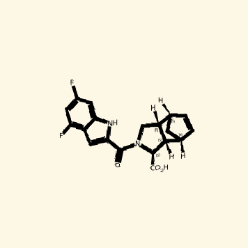 O=C(O)[C@@H]1[C@@H]2[C@H](CN1C(=O)c1cc3c(F)cc(F)cc3[nH]1)[C@@H]1C=C[C@H]2C1